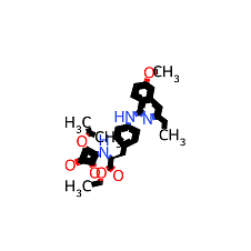 CCOC(=O)[C@H](Cc1ccc(Nc2nc(CC)cc3cc(OC)ccc23)cc1)Nc1c(OC(C)C)c(=O)c1=O